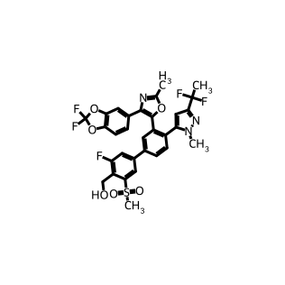 Cc1nc(-c2ccc3c(c2)OC(F)(F)O3)c(-c2cc(-c3cc(F)c(CO)c(S(C)(=O)=O)c3)ccc2-c2cc(C(C)(F)F)nn2C)o1